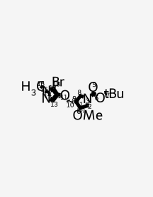 CO[C@@H]1CN(C(=O)OC(C)(C)C)C[C@H]1COc1cnn(C)c1Br